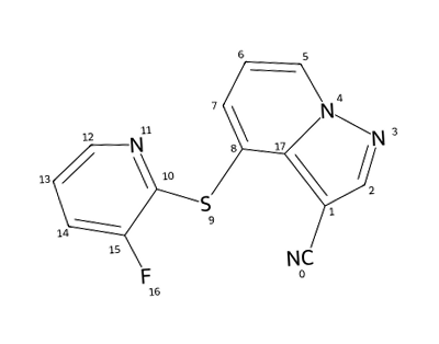 N#Cc1cnn2cccc(Sc3ncccc3F)c12